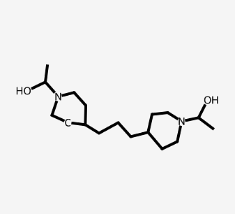 CC(O)N1CCC(CCCC2CCN(C(C)O)CC2)CC1